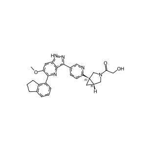 COc1cc2[nH]nc(-c3ccc([C@]45C[C@H]4CN(C(=O)CO)C5)nc3)c2nc1-c1cccc2c1CCC2